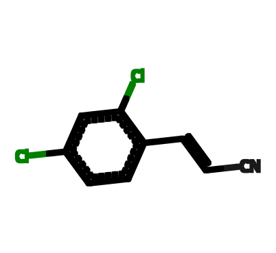 N#CC=Cc1ccc(Cl)cc1Cl